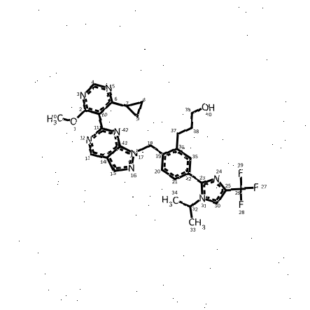 COc1ncnc(C2CC2)c1-c1ncc2cnn(Cc3ccc(-c4nc(C(F)(F)F)cn4C(C)C)cc3CCCO)c2n1